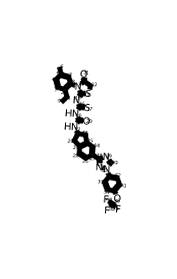 CCc1ccc(C)cc1N1C(=O)CS/C1=N\C(=S)NC(=O)NC1Cc2ccc(-c3ncn(-c4ccc(OC(F)(F)F)cc4)n3)cc2C1